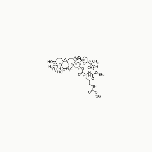 CC(C)(C)OC(=O)NCCC[C@H](NC(=O)OC(C)(C)C)C(=O)O[C@H]1C[C@@]2(C)C3C[C@H](O)[C@H]4C(C)(C)[C@@H](O)CCC45CC35CC[C@]2(C)[C@H]1[C@@]1(C)CC[C@@H](C(C)(C)O)O1